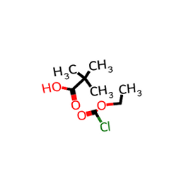 CC(C)(C)C(=O)O.CCOC(=O)Cl